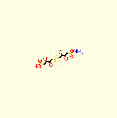 NOS(=O)CC(=O)C(=O)CSSCC(=O)C(=O)CS(=O)O